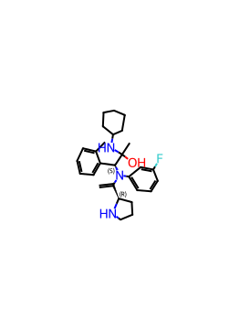 C=C([C@H]1CCCN1)N(c1cccc(F)c1)[C@@H](c1ccccc1C)C(C)(O)NC1CCCCC1